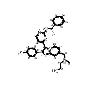 C[C@H](Nc1nccc(-c2c(-c3ccc(F)cc3)nc3cc(CN(C)CCO)ccn23)n1)c1ccccc1